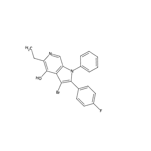 [CH2]Cc1ncc2c(c1O)c(Br)c(-c1ccc(F)cc1)n2-c1ccccc1